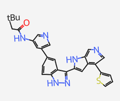 CC(C)(C)CC(=O)Nc1cncc(-c2ccc3[nH]nc(-c4cc5c(-c6cccs6)cncc5[nH]4)c3c2)c1